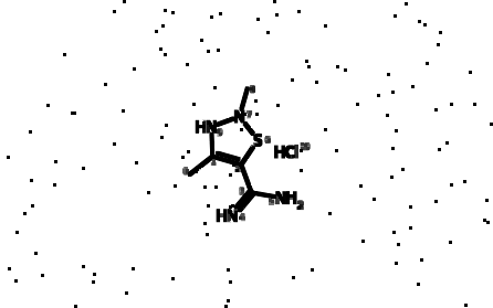 CC1=C(C(=N)N)SN(C)N1.Cl